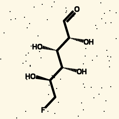 O=C[C@H](O)[C@@H](O)[C@H](O)[C@H](O)CF